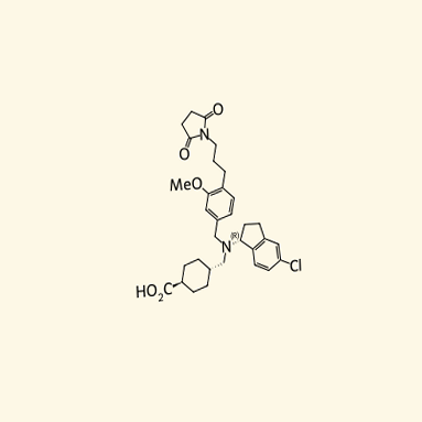 COc1cc(CN(C[C@H]2CC[C@H](C(=O)O)CC2)[C@@H]2CCc3cc(Cl)ccc32)ccc1CCCN1C(=O)CCC1=O